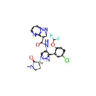 CN1CC[C@@H](n2cc(NC(=O)c3cnn4cccnc34)c(-c3cc(Cl)ccc3OC(F)F)n2)C1=O